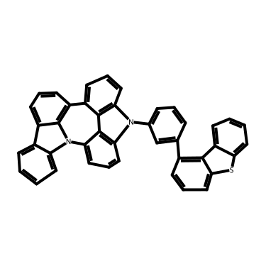 c1cc(-c2cccc3sc4ccccc4c23)cc(-n2c3cccc4c5cccc6c7ccccc7n(c7cccc2c7c43)c56)c1